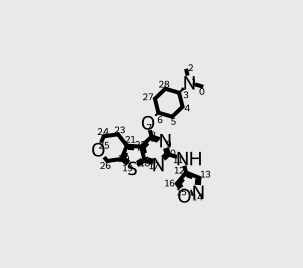 CN(C)[C@H]1CC[C@H](Oc2nc(Nc3cnoc3)nc3sc4c(c23)CCOC4)CC1